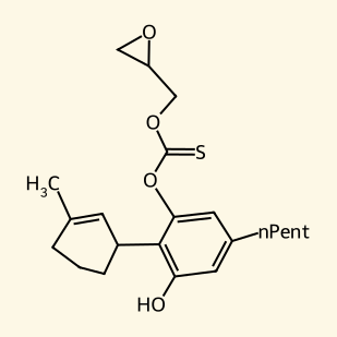 CCCCCc1cc(O)c(C2C=C(C)CCC2)c(OC(=S)OCC2CO2)c1